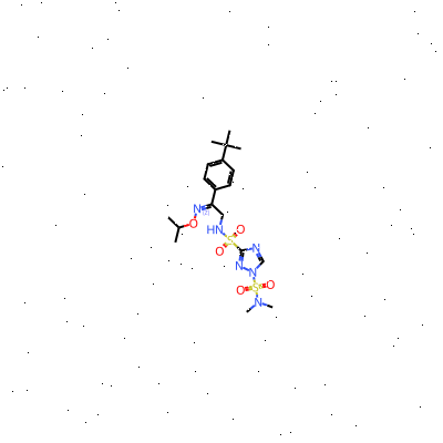 CC(C)O/N=C(\CNS(=O)(=O)c1ncn(S(=O)(=O)N(C)C)n1)c1ccc(C(C)(C)C)cc1